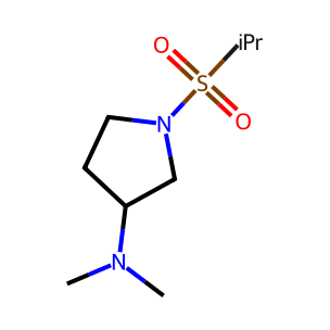 CC(C)S(=O)(=O)N1CCC(N(C)C)C1